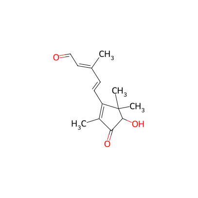 CC(C=CC1=C(C)C(=O)C(O)C1(C)C)=CC=O